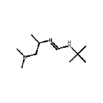 CC(CN(C)C)/N=C/NC(C)(C)C